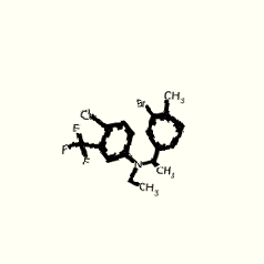 CCN(c1ccc(Cl)c(C(F)(F)F)c1)C(C)c1ccc(C)c(Br)c1